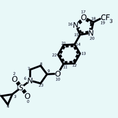 O=S(=O)(C1CC1)N1CCC(Oc2ccc(-c3noc(C(F)(F)F)n3)cc2)C1